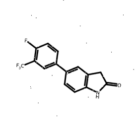 O=C1Cc2cc(-c3ccc(F)c(C(F)(F)F)c3)ccc2N1